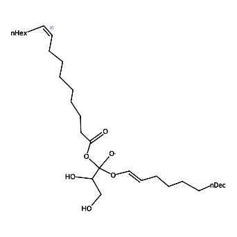 CCCCCC/C=C\CCCCCCCC(=O)OC([O])(OC=CCCCCCCCCCCCCCC)C(O)CO